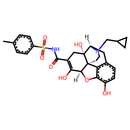 Cc1ccc(S(=O)(=O)NC(=O)C2=C(O)[C@@H]3Oc4c(O)ccc5c4[C@@]34CCN(CC3CC3)[C@H](C5)[C@]4(O)C2)cc1